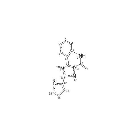 C=C1Nc2ccccc2-c2nc(-c3ccco3)nn21